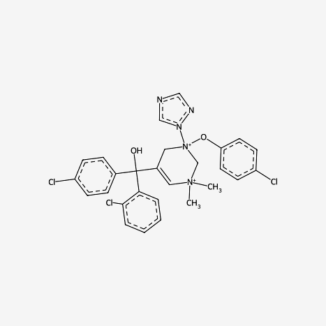 C[N+]1(C)C=C(C(O)(c2ccc(Cl)cc2)c2ccccc2Cl)C[N+](Oc2ccc(Cl)cc2)(n2cncn2)C1